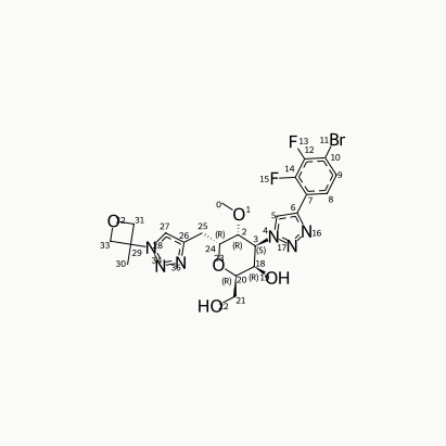 CO[C@@H]1[C@@H](n2cc(-c3ccc(Br)c(F)c3F)nn2)[C@@H](O)[C@@H](CO)O[C@@H]1Cc1cn(C2(C)COC2)nn1